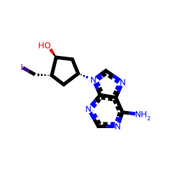 Nc1ncnc2c1ncn2[C@@H]1C[C@H](CI)[C@@H](O)C1